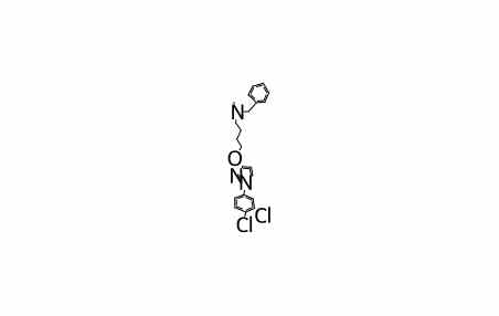 CN(CCCCOc1ccn(-c2ccc(Cl)c(Cl)c2)n1)Cc1ccccc1